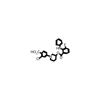 O=C(O)c1ccc(N2CCCC(OC(=O)c3cccc(F)c3Nc3ccccc3)C2)cc1Cl